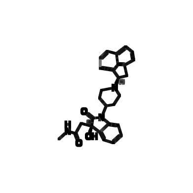 CNC(=O)C[C@]1(O)C(=O)N(C2CCN([C@@H]3Cc4cccc5cccc3c45)CC2)c2ccccc21